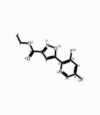 CCOC(=O)c1cc(-c2ncc(F)cc2F)on1